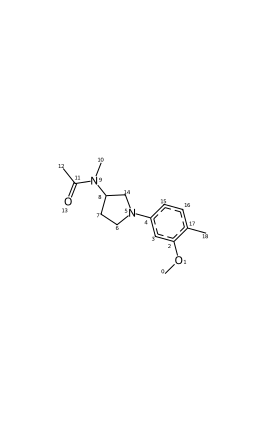 COc1cc(N2CCC(N(C)C(C)=O)C2)ccc1C